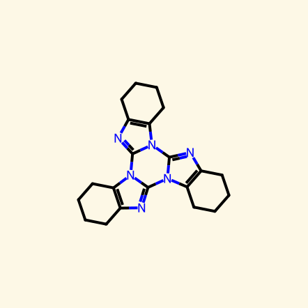 C1CCc2c(nc3n2c2nc4c(n2c2nc5c(n32)CCCC5)CCCC4)C1